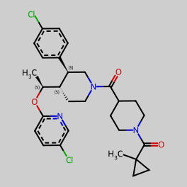 C[C@H](Oc1ccc(Cl)cn1)[C@H]1CCN(C(=O)C2CCN(C(=O)C3(C)CC3)CC2)C[C@@H]1c1ccc(Cl)cc1